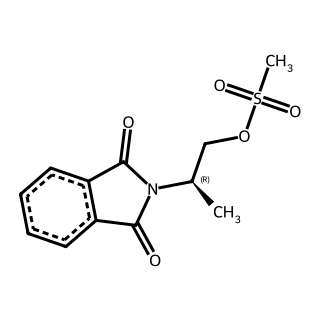 C[C@H](COS(C)(=O)=O)N1C(=O)c2ccccc2C1=O